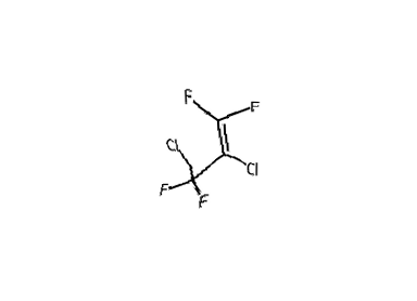 FC(F)=C(Cl)C(F)(F)Cl